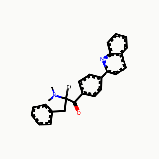 CCC(Cc1ccccc1)(C(=O)c1ccc(-c2ccc3ccccc3n2)cc1)N(C)C